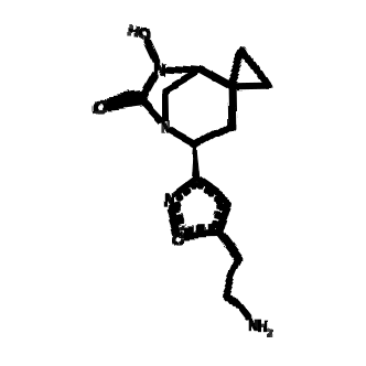 NCCc1cc([C@@H]2CC3(CC3)C3CN2C(=O)N3O)no1